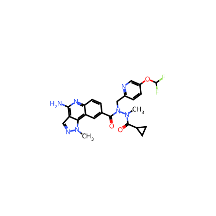 CN(C(=O)C1CC1)N(Cc1ccc(OC(F)F)cn1)C(=O)c1ccc2nc(N)c3cnn(C)c3c2c1